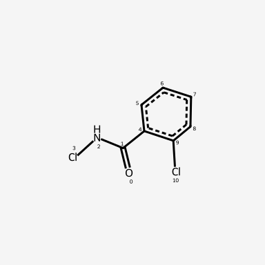 O=C(NCl)c1ccccc1Cl